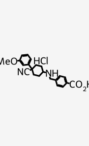 COc1cccc(C2(C#N)CCC(NCc3ccc(C(=O)O)cc3)CC2)c1.Cl